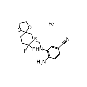 N#Cc1ccc(N)c(NC[C@H]2CC3(CCC2(F)F)OCCO3)c1.[Fe]